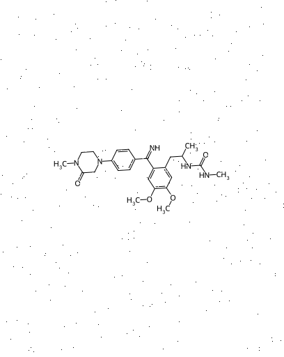 CNC(=O)NC(C)Cc1cc(OC)c(OC)cc1C(=N)c1ccc(N2CCN(C)C(=O)C2)cc1